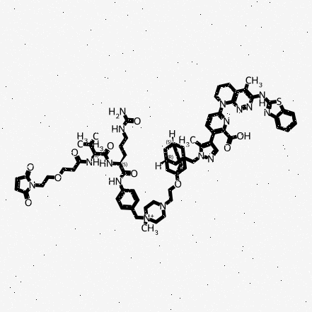 Cc1c(Nc2nc3ccccc3s2)nnc2c1CCCN2c1ccc(-c2cnn(CC34C[C@H]5C[C@@H](C3)CC(OCCN3CC[N+](C)(Cc6ccc(NC(=O)[C@H](CCCNC(N)=O)NC(=O)[C@@H](NC(=O)CCOCCN7C(=O)C=CC7=O)C(C)C)cc6)CC3)(C5)C4)c2C)c(C(=O)O)n1